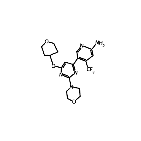 Nc1cc(C(F)(F)F)c(-c2cc(OC3CCOCC3)nc(N3CCOCC3)n2)cn1